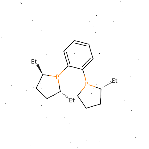 CC[C@@H]1CCCP1c1ccccc1P1[C@H](CC)CC[C@H]1CC